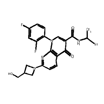 CCC(NC(=O)c1cn(-c2ccc(F)cc2F)c2nc(N3CC(CO)C3)ccc2c1=O)C(F)(F)F